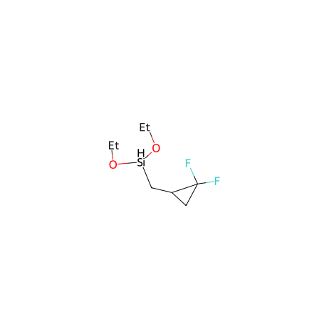 CCO[SiH](CC1CC1(F)F)OCC